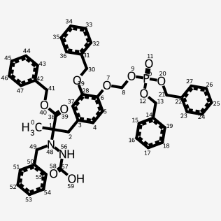 CC(Cc1ccc(OCOP(=O)(OCc2ccccc2)OCc2ccccc2)c(OCc2ccccc2)c1)(C(=O)OCc1ccccc1)N(Cc1ccccc1)NC(=O)O